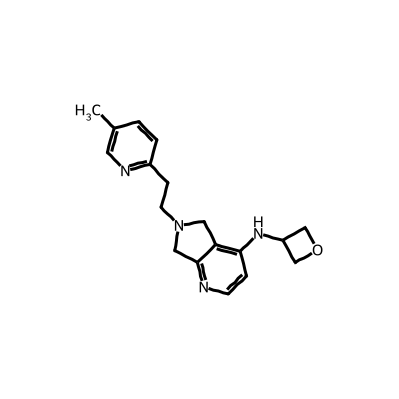 Cc1ccc(CCN2Cc3nccc(NC4COC4)c3C2)nc1